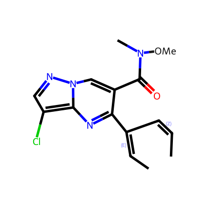 C/C=C\C(=C/C)c1nc2c(Cl)cnn2cc1C(=O)N(C)OC